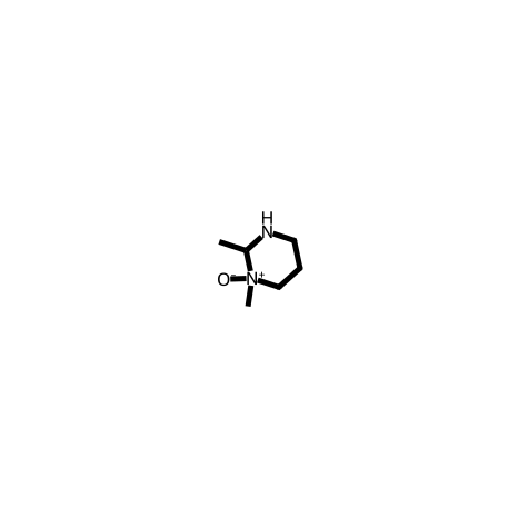 CC1NCCC[N+]1(C)[O-]